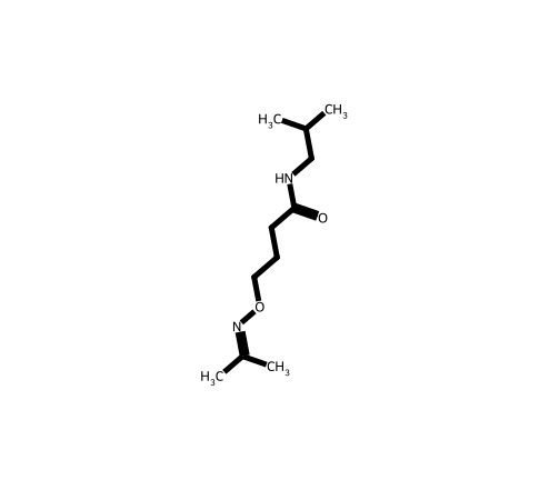 CC(C)=NOCCCC(=O)NCC(C)C